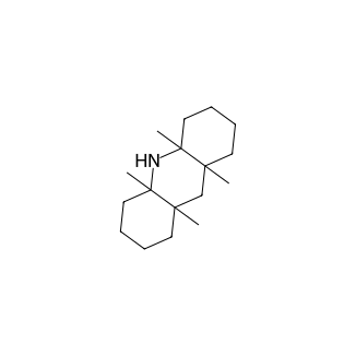 CC12CCCCC1(C)NC1(C)CCCCC1(C)C2